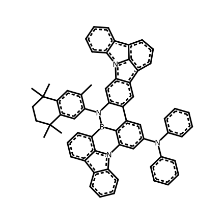 Cc1cc2c(cc1N1B3c4c(cc(N(c5ccccc5)c5ccccc5)cc4-n4c5ccccc5c5cccc3c54)-c3cc4c5cccc6c7ccccc7n(c4cc31)c65)C(C)(C)CCC2(C)C